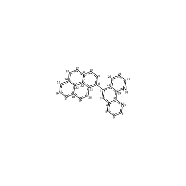 c1cnc2c(c1)cc(-c1ccc3ccc4cccc5ccc1c3c45)c1cccnc12